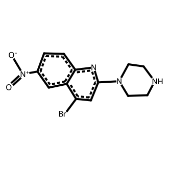 O=[N+]([O-])c1ccc2nc(N3CCNCC3)cc(Br)c2c1